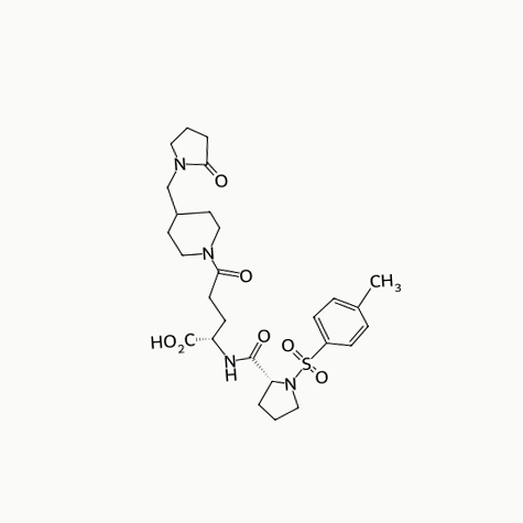 Cc1ccc(S(=O)(=O)N2CCC[C@@H]2C(=O)N[C@@H](CCC(=O)N2CCC(CN3CCCC3=O)CC2)C(=O)O)cc1